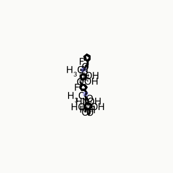 C/C(=C\c1ccc(O[C@@H]2C[C@H](/C(C)=N/OCc3ccccc3F)[C@@H](O)[C@@H]2O)c(F)c1)C(=O)N[C@@H]1[C@H](O)[C@@H](O)[C@H]2OCO[C@H]2[C@@H]1O